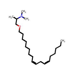 CCCCC/C=C\C/C=C\CCCCCCCCOCC(C)N(C)C